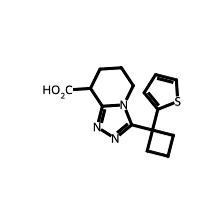 O=C(O)C1CCCn2c1nnc2C1(c2cccs2)CCC1